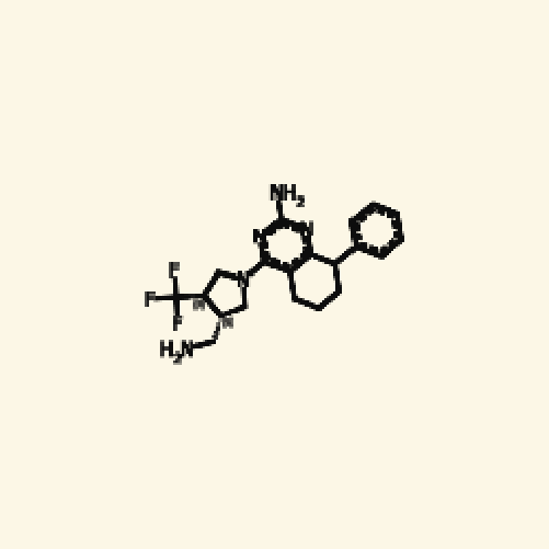 NC[C@H]1CN(c2nc(N)nc3c2CCCC3c2ccccc2)C[C@@H]1C(F)(F)F